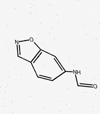 O=CNc1ccc2cnoc2c1